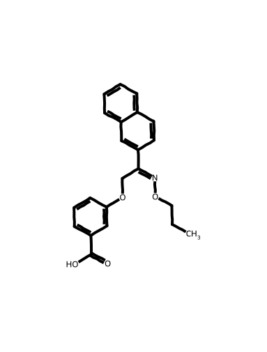 CCCON=C(COc1cccc(C(=O)O)c1)c1ccc2ccccc2c1